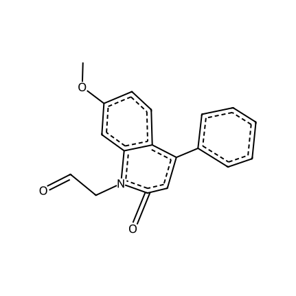 COc1ccc2c(-c3ccccc3)cc(=O)n(CC=O)c2c1